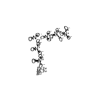 O=[N+]([O-])[O-].O=[N+]([O-])[O-].O=[N+]([O-])[O-].O=[N+]([O-])[O-].O=[N+]([O-])[O-].O=[N+]([O-])[O-].[Fe+3].[Rh+3]